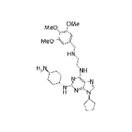 COc1cc(CNCCNc2nc(N[C@H]3CC[C@H](N)CC3)nc3c2ncn3C2CCCC2)cc(OC)c1OC